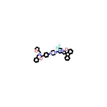 O=C(c1ccc(N2CCN(CCCCC3(C(=O)NCC(F)(F)F)c4ccccc4-c4ccccc43)CC2)cc1)N(Cc1ccccc1)CC1CCCO1